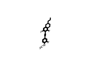 CCCC1CCc2c(cc(F)c(C#Cc3ccc(N=C=S)c(F)c3)c2F)C1